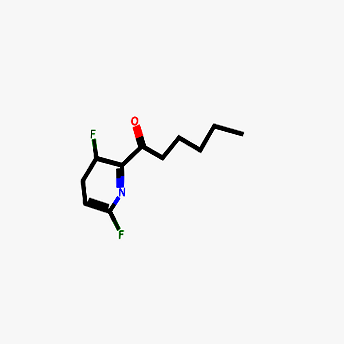 CCCCCC(=O)C1=NC(F)=CCC1F